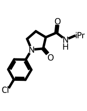 CC(C)NC(=O)C1CCN(c2ccc(Cl)cc2)C1=O